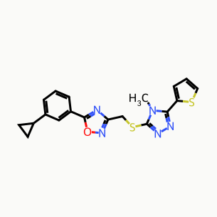 Cn1c(SCc2noc(-c3cccc(C4CC4)c3)n2)nnc1-c1cccs1